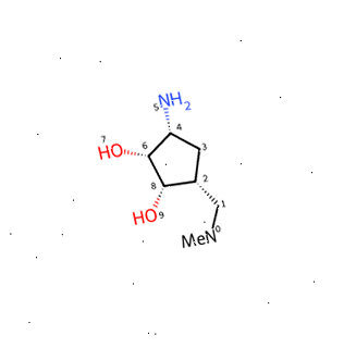 CNC[C@H]1C[C@@H](N)[C@@H](O)[C@H]1O